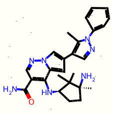 Cc1c(-c2cc3c(N[C@@H]4CC[C@](C)(N)C4(C)C)c(C(N)=O)cnn3c2)cnn1-c1ccccc1